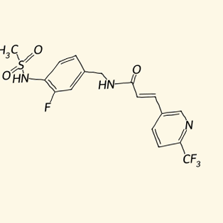 CS(=O)(=O)Nc1ccc(CNC(=O)/C=C/c2ccc(C(F)(F)F)nc2)cc1F